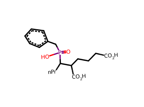 CCCC(C(CCCC(=O)O)C(=O)O)P(=O)(O)Cc1ccccc1